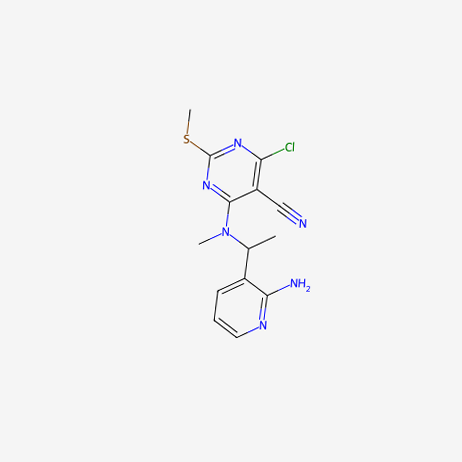 CSc1nc(Cl)c(C#N)c(N(C)C(C)c2cccnc2N)n1